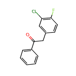 O=C(Cc1ccc(F)c(Cl)c1)c1ccccc1